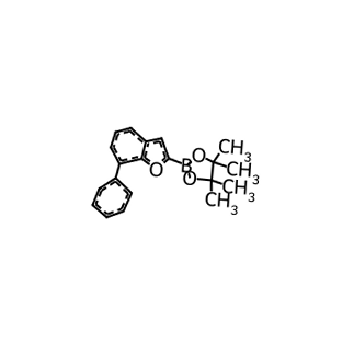 CC1(C)OB(c2cc3cccc(-c4ccccc4)c3o2)OC1(C)C